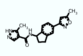 Cc1cc(-c2ccc3c(c2)CCC3NC(=O)c2cn[nH]c2C)no1